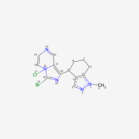 Cn1ncc2c1CCCC2C1=C2C=NC=C[N+]2(Cl)C(Br)=N1